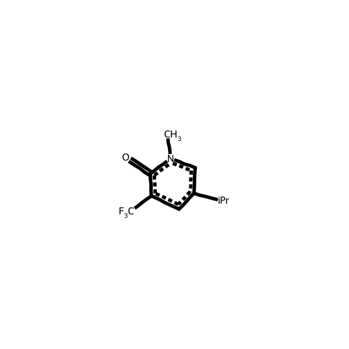 CC(C)c1cc(C(F)(F)F)c(=O)n(C)c1